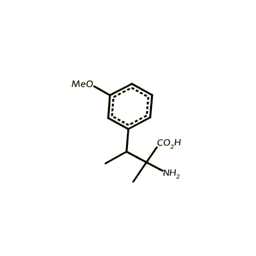 COc1cccc(C(C)C(C)(N)C(=O)O)c1